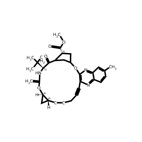 C=C1N[C@@H](C(C)(C)C)C(=O)C2CC(C[C@H]2C(=O)OC)Oc2nc3cc(C)ccc3nc2C#CCCC[C@@H]2C[C@H]2O1